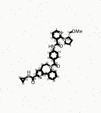 COC[C@@H]1CCCN1c1ncccc1C(=O)Nc1ccc(C(=O)N2CCc3cc(C(=O)NC4CC4)sc3-c3ccccc32)cc1